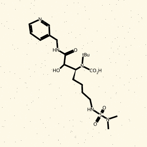 CN(C)S(=O)(=O)NCCCC[C@@H](C(O)C(=O)NCc1cccnc1)N(C(=O)O)C(C)(C)C